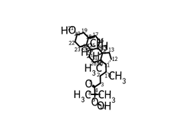 C[C@H](CCC(=O)C(C)(C)OO)[C@H]1CC[C@H]2[C@@H]3CC=C4C[C@@H](O)CC[C@]4(C)[C@H]3CC[C@]12C